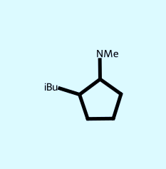 CCC(C)C1CCCC1NC